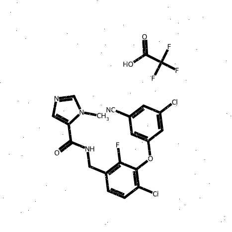 Cn1cncc1C(=O)NCc1ccc(Cl)c(Oc2cc(Cl)cc(C#N)c2)c1F.O=C(O)C(F)(F)F